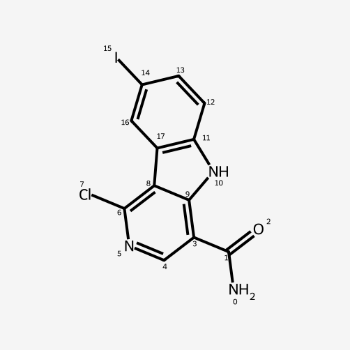 NC(=O)c1cnc(Cl)c2c1[nH]c1ccc(I)cc12